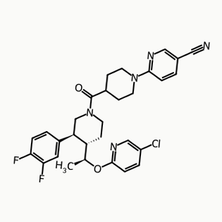 C[C@H](Oc1ccc(Cl)cn1)[C@H]1CCN(C(=O)C2CCN(c3ccc(C#N)cn3)CC2)C[C@@H]1c1ccc(F)c(F)c1